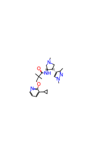 Cc1nn(C)cc1[C@H]1CN(C)C[C@@H]1NC(=O)C(C)(C)COc1ncccc1C1CC1